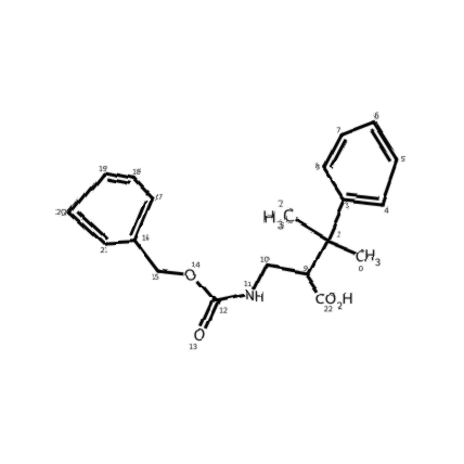 CC(C)(c1ccccc1)C(CNC(=O)OCc1ccccc1)C(=O)O